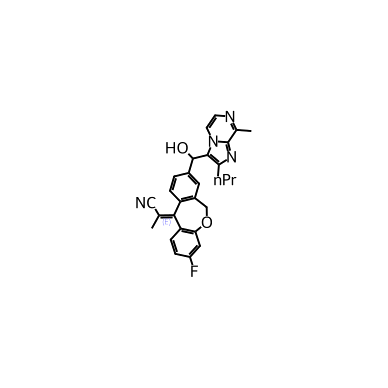 CCCc1nc2c(C)nccn2c1C(O)c1ccc2c(c1)COc1cc(F)ccc1/C2=C(\C)C#N